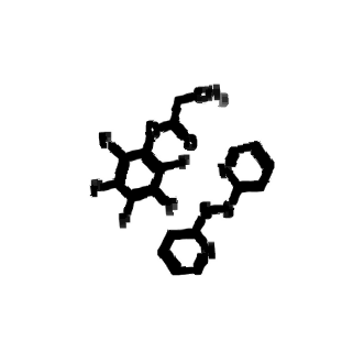 CCC(=O)Oc1c(F)c(F)c(F)c(F)c1F.c1ccc(SSc2ccccn2)nc1